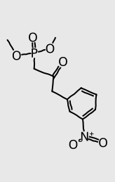 COP(=O)(CC(=O)Cc1cccc([N+](=O)[O-])c1)OC